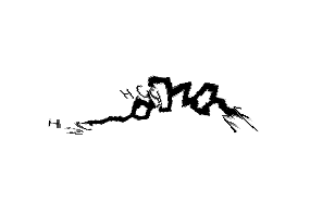 C=CCCCC1CCC([Si]2(C)CCC(CCc3ccc(C=C(F)F)cc3)CC2)CC1